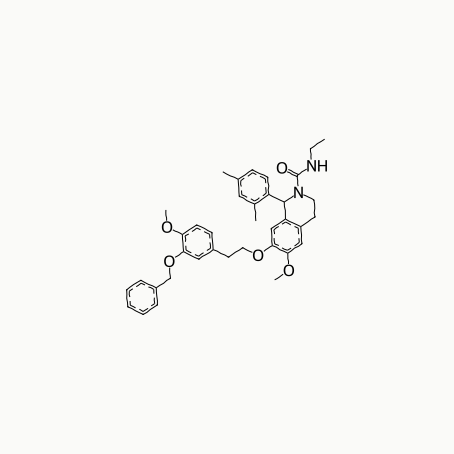 CCNC(=O)N1CCc2cc(OC)c(OCCc3ccc(OC)c(OCc4ccccc4)c3)cc2C1c1ccc(C)cc1C